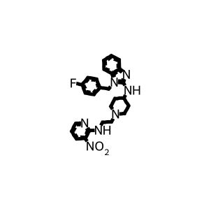 O=[N+]([O-])c1cccnc1NCCN1CCC(Nc2nc3ccccc3n2Cc2ccc(F)cc2)CC1